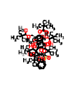 CC(C)(C)C(=O)OC[C@H]1O[C@@H]([C@@]2(O)[C@@H](C(O)C(=O)C(C)(C)C)O[C@@H]([S+]([O-])c3ccccc3)[C@@](O)(C(=O)C(C)(C)C)[C@]2(O)C(=O)C(C)(C)C)[C@H](OC(=O)C(C)(C)C)[C@@H](OC(=O)C(C)(C)C)[C@H]1OC(=O)C(C)(C)C